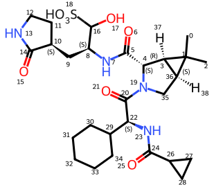 CC1(C)[C@@H]2[C@@H](C(=O)N[C@@H](C[C@@H]3CCNC3=O)C(O)S(=O)(=O)O)N(C(=O)[C@@H](NC(=O)C3CC3)C3CCCCC3)C[C@@H]21